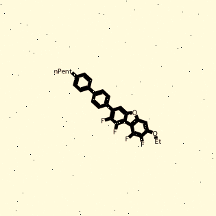 CCCCCc1ccc(-c2ccc(-c3cc4oc5cc(OCC)c(F)c(F)c5c4c(F)c3F)cc2)cc1